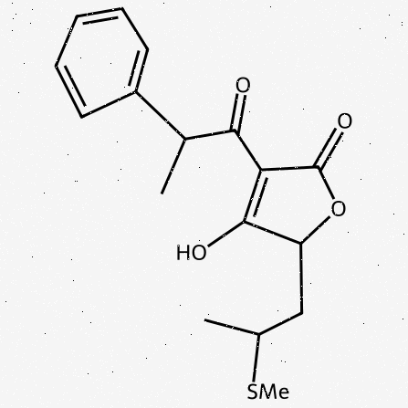 CSC(C)CC1OC(=O)C(C(=O)C(C)c2ccccc2)=C1O